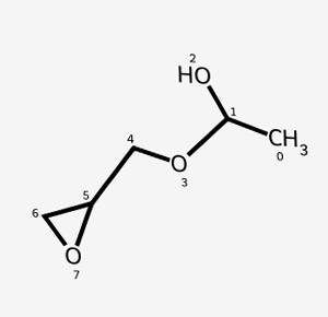 CC(O)OCC1CO1